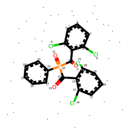 O=C(c1c(Cl)cccc1Cl)P(=O)(C(=O)c1c(Cl)cccc1Cl)c1ccccc1